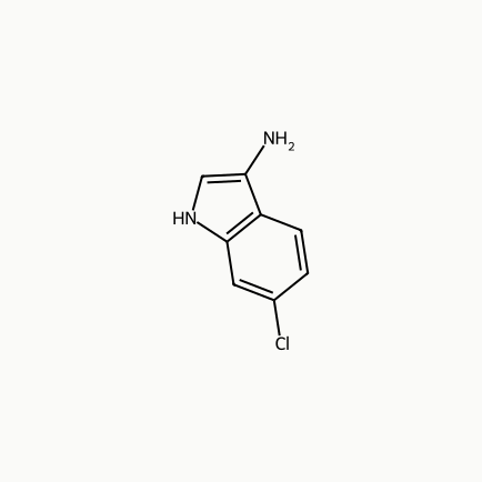 Nc1c[nH]c2cc(Cl)ccc12